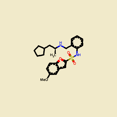 COc1ccc2oc(S(=O)(=O)Nc3ccccc3CN[C@@H](C)CC3CCCC3)cc2c1